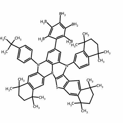 Bc1c(B)c(B)c(-c2cc3c4c(c2)N(c2ccc5c(c2)C(C)(C)CCC5(C)C)c2c(sc5cc6c(cc25)C(C)(C)CCC6(C)C)B4c2cc4c(cc2N3c2ccc(C(C)(C)C)cc2)C(C)(C)CCC4(C)C)c(B)c1B